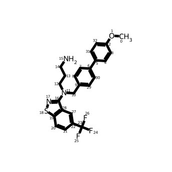 COc1ccc(-c2ccc(CN(CCCN)c3nsc4ccc(C(F)(F)F)cc34)cc2)cc1